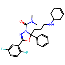 CN(C)C(=O)N1N=C(c2cc(F)ccc2F)OC1(CCCNC1CC=CCC1)c1ccccc1